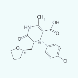 CC1=C(C(=O)O)[C@H](c2ccc(Cl)nc2)C(C[C@H]2CCCO2)C(=O)N1